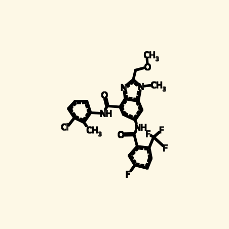 COCc1nc2c(C(=O)Nc3cccc(Cl)c3C)cc(NC(=O)c3cc(F)ccc3C(F)(F)F)cc2n1C